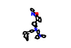 c1ccc(-c2nc3cc(-c4ccc(N(c5ccc(-c6cccc7ccccc67)cc5)c5ccc6c(c5)c5ccccc5n6-c5ccccc5)cc4)c4ccccc4c3o2)cc1